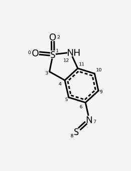 O=S1(=O)Cc2cc(N=S)ccc2N1